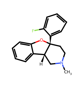 CN1CC[C@@]2(c3ccccc3F)Oc3ccccc3[C@H]2C1